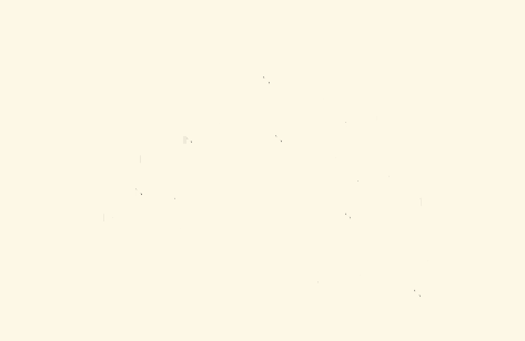 CN(C)C(=O)C1CC(n2cc(C(=O)Nc3c(Cl)cncc3Cl)c(=O)c3cccnc32)CN1